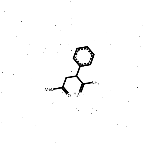 C=C(C)C(CC(=O)OC)c1ccccc1